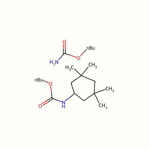 CCCCOC(=O)NC1CC(C)(C)CC(C)(C)C1.CCCCOC(N)=O